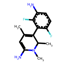 CC1=C(c2c(F)ccc(N)c2F)C(C)N(C)C(N)=C1